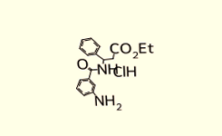 CCOC(=O)CC(NC(=O)c1cccc(N)c1)c1ccccc1.Cl